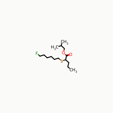 CCCC(SCCCCCCF)C(=O)OCC(C)C